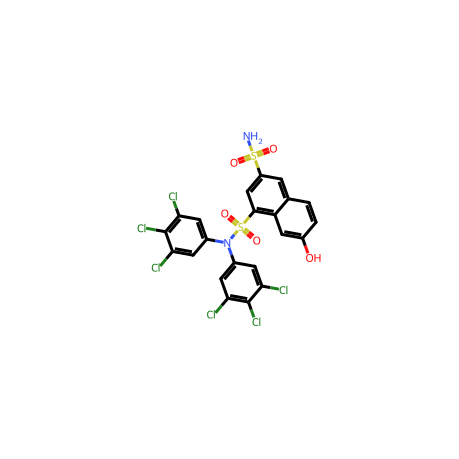 NS(=O)(=O)c1cc(S(=O)(=O)N(c2cc(Cl)c(Cl)c(Cl)c2)c2cc(Cl)c(Cl)c(Cl)c2)c2cc(O)ccc2c1